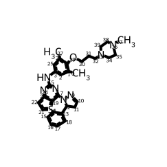 Cc1cc(Nc2nc(N3N=CCC3c3ccccc3)c3sccc3n2)cc(C)c1OCCCN1CCN(C)CC1